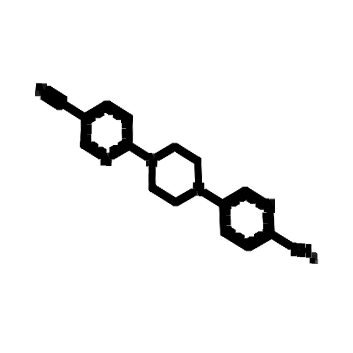 N#Cc1ccc(N2CCN(c3ccc(N)nc3)CC2)nc1